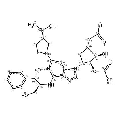 CCC(=O)N[C@H]1C[C@@H](n2cnc3c(N[C@@H](CO)[C@@H](O)c4ccccc4)nc(N4CC[C@@H](N(C)C)C4)nc32)[C@H](OC(=O)C(F)(F)F)[C@@H]1O